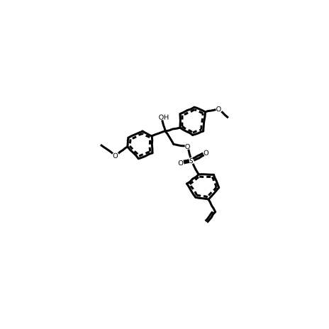 C=Cc1ccc(S(=O)(=O)OCC(O)(c2ccc(OC)cc2)c2ccc(OC)cc2)cc1